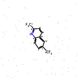 FC(F)(F)c1ccc2nc(C(F)(F)F)c[c]c2c1